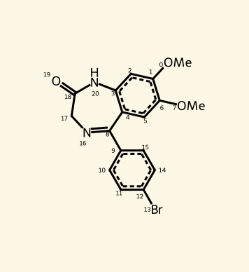 COc1cc2c(cc1OC)C(c1ccc(Br)cc1)=NCC(=O)N2